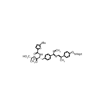 C=N/C(=N\C=C(/C)c1ccc(OCCCCCCC)cc1)c1ccc(C[C@@H](NC(=O)c2ccc(C(C)(C)C)s2)C(=O)N[C@H](C)C(=O)O)cc1